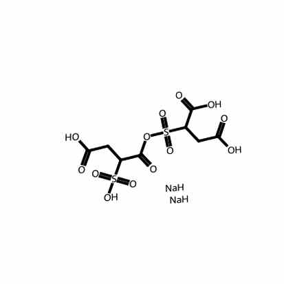 O=C(O)CC(C(=O)OS(=O)(=O)C(CC(=O)O)C(=O)O)S(=O)(=O)O.[NaH].[NaH]